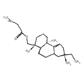 CBCC(=O)OC[C@]1(C)CCC[C@@]2(C)C3=CC[C@](C)(CC)CC3CCC12